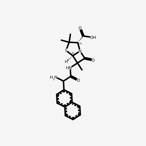 CC1(C)S[C@H]2N(C(=O)C2(C)NC(=O)C(N)c2ccc3ccccc3c2)[C@H]1C(=O)O